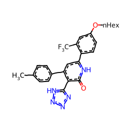 CCCCCCOc1ccc(-c2cc(-c3ccc(C)cc3)c(-c3nnn[nH]3)c(=O)[nH]2)c(C(F)(F)F)c1